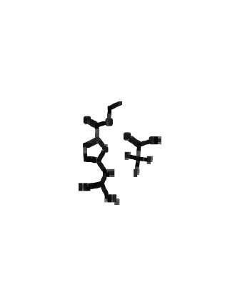 CCOC(=O)c1ccc(NC(=N)N)s1.O=C(O)C(F)(F)F